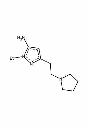 CCn1nc(CCN2CCCC2)cc1N